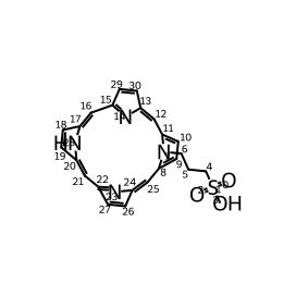 O=S(=O)(O)CCCn1c2ccc1cc1nc(cc3ccc(cc4nc(c2)C=C4)[nH]3)C=C1